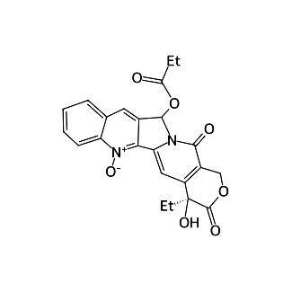 CCC(=O)OC1c2cc3ccccc3[n+]([O-])c2-c2cc3c(c(=O)n21)COC(=O)[C@]3(O)CC